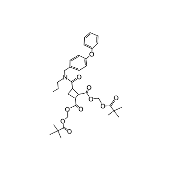 CCCN(Cc1ccc(Oc2ccccc2)cc1)C(=O)C1CC(C(=O)OCOC(=O)C(C)(C)C)C1C(=O)OCOC(=O)C(C)(C)C